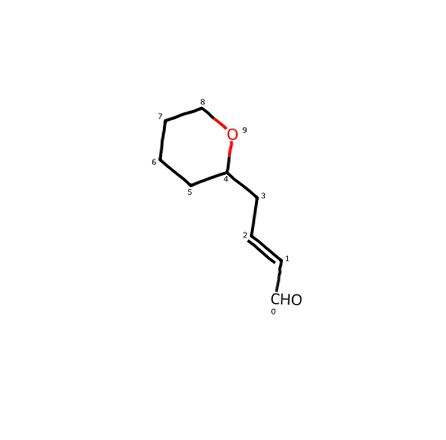 O=CC=CCC1CCCCO1